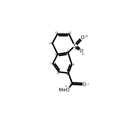 COC(=O)c1ccc2c(c1)S(=O)(=O)C=CC2